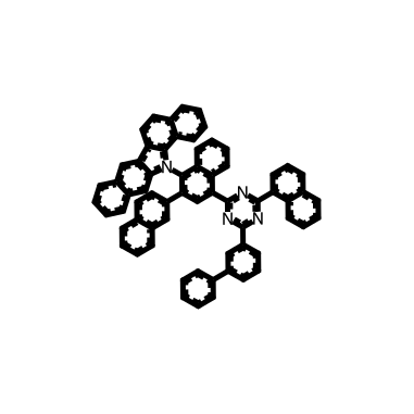 c1ccc(-c2cccc(-c3nc(-c4cccc5ccccc45)nc(-c4cc(-c5ccc6ccccc6c5)c(-n5c6cc7ccccc7cc6c6ccc7ccccc7c65)c5ccccc45)n3)c2)cc1